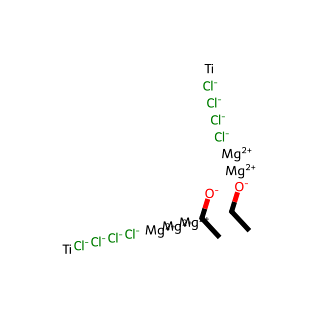 CC[O-].CC[O-].[Cl-].[Cl-].[Cl-].[Cl-].[Cl-].[Cl-].[Cl-].[Cl-].[Mg+2].[Mg+2].[Mg+2].[Mg+2].[Mg+2].[Ti].[Ti]